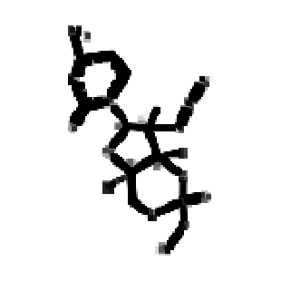 CC(C)OP1(=O)OC[C@H]2O[C@@H](n3ccc(N)nc3=O)[C@](C)(N=[N+]=[N-])[C@@H]2O1